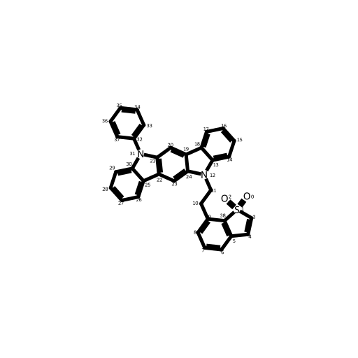 O=S1(=O)C=Cc2cccc(CCn3c4ccccc4c4cc5c(cc43)c3ccccc3n5-c3ccccc3)c21